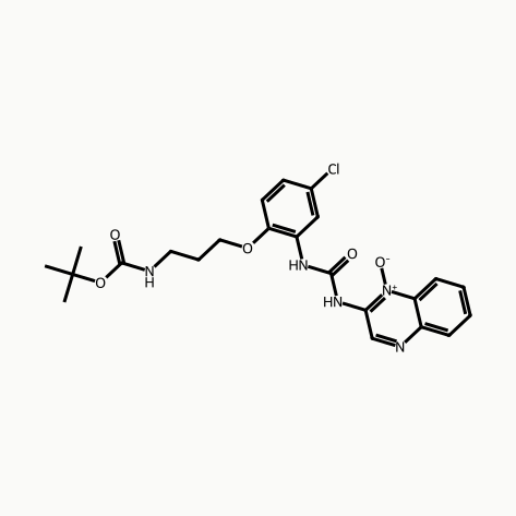 CC(C)(C)OC(=O)NCCCOc1ccc(Cl)cc1NC(=O)Nc1cnc2ccccc2[n+]1[O-]